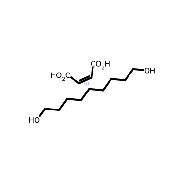 O=C(O)/C=C\C(=O)O.OCCCCCCCCCO